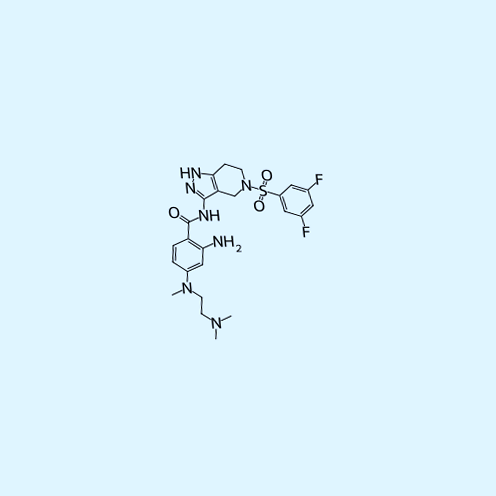 CN(C)CCN(C)c1ccc(C(=O)Nc2n[nH]c3c2CN(S(=O)(=O)c2cc(F)cc(F)c2)CC3)c(N)c1